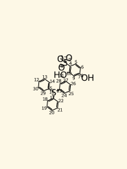 O=S(=O)([O-])c1ccc(O)cc1O.c1ccc([S+](c2ccccc2)c2ccccc2)cc1